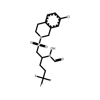 O=CN(O)C(CCC(F)(F)F)CS(=O)(=O)N1CCc2ccc(Cl)cc2C1